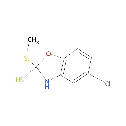 CSC1(S)Nc2cc(Cl)ccc2O1